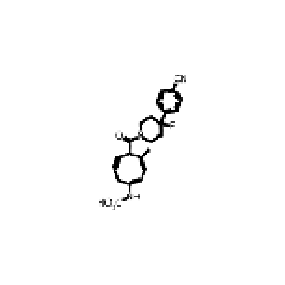 C/C1=C/C=C(/NC(=O)O)CC#CC1C(=O)N1CCC(F)(c2ccc(C#N)cc2)CC1